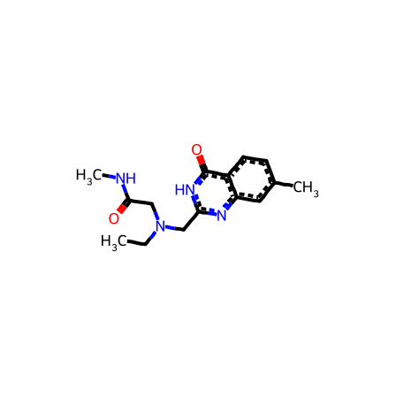 CCN(CC(=O)NC)Cc1nc2cc(C)ccc2c(=O)[nH]1